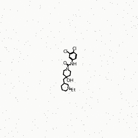 CCN1CCCC(CC2(O)CCN(C(=O)Nc3ccc(Cl)c(Cl)c3)CC2)C1